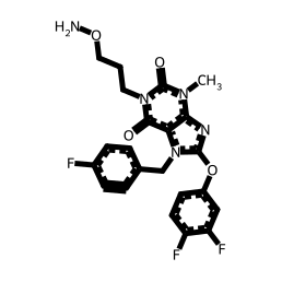 Cn1c(=O)n(CCCON)c(=O)c2c1nc(Oc1ccc(F)c(F)c1)n2Cc1c#cc(F)cc1